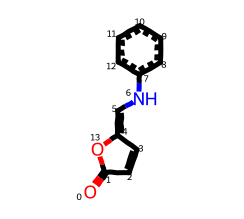 O=C1C=CC(=CNc2ccccc2)O1